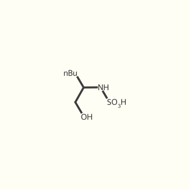 CCCCC(CO)NS(=O)(=O)O